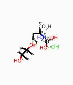 CC(C)(O)C(C)(C)O.CC(C)CC(N)C(=O)O.Cl.OBO